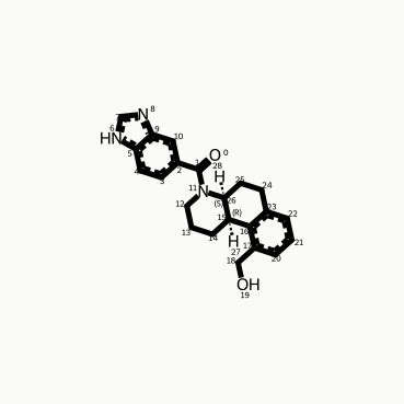 O=C(c1ccc2[nH]cnc2c1)N1CCC[C@@H]2c3c(CO)cccc3CC[C@@H]21